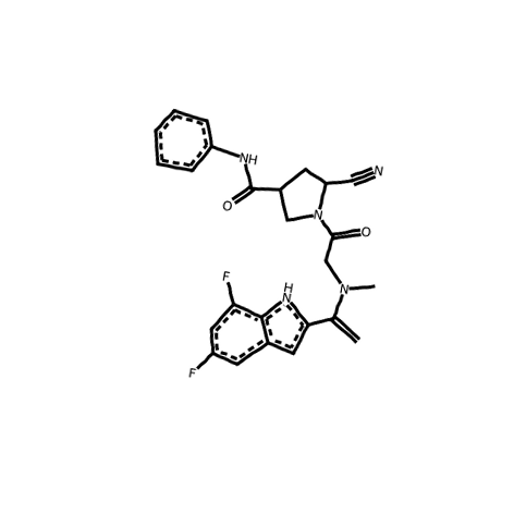 C=C(c1cc2cc(F)cc(F)c2[nH]1)N(C)CC(=O)N1CC(C(=O)Nc2ccccc2)CC1C#N